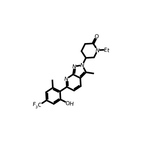 CCN1CC(n2nc3nc(-c4c(C)cc(C(F)(F)F)cc4O)ccc3c2C)CCC1=O